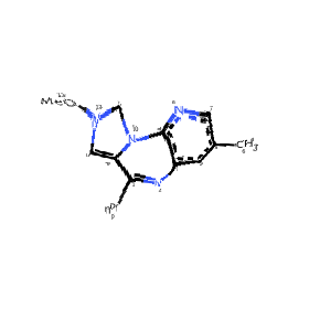 CCCC1=Nc2cc(C)cnc2N2CN(OC)C=C12